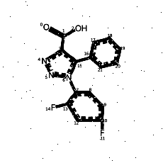 O=C(O)c1nnn(-c2ccc(F)cc2F)c1-c1ccccc1